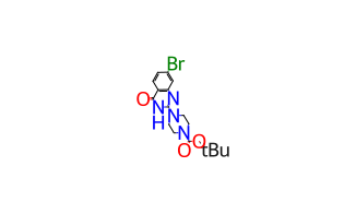 CC(C)(C)OC(=O)N1CCN(c2nc3cc(Br)ccc3c(=O)[nH]2)CC1